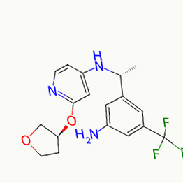 C[C@@H](Nc1ccnc(O[C@H]2CCOC2)c1)c1cc(N)cc(C(F)(F)F)c1